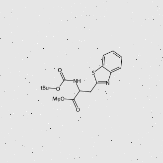 COC(=O)C(Cc1nc2ccccc2s1)NC(=O)OC(C)(C)C